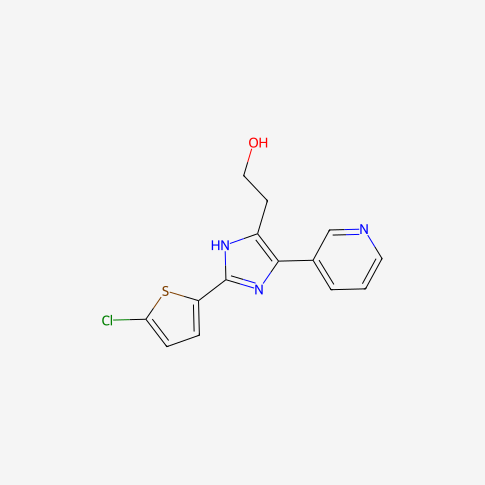 OCCc1[nH]c(-c2ccc(Cl)s2)nc1-c1cccnc1